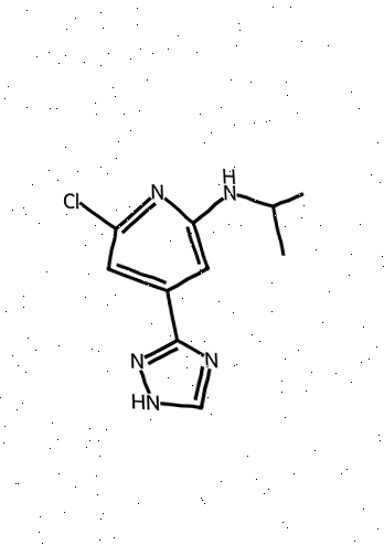 CC(C)Nc1cc(-c2nc[nH]n2)cc(Cl)n1